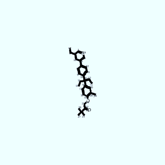 CCc1cncc(-c2ccc(C(CC)(CC)c3ccc(OCC(=O)C(C)(C)C)c(C)c3)cc2)c1